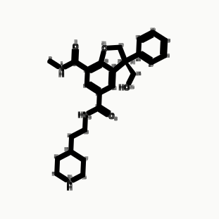 CNC(=O)c1cc(C(=O)NCCC2CCNCC2)cc2c1OC[C@]2(CO)c1ccccc1